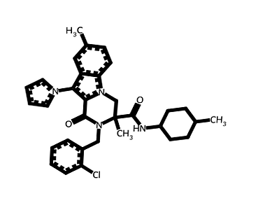 Cc1ccc2c(c1)c(-n1cccc1)c1n2CC(C)(C(=O)NC2CCC(C)CC2)N(Cc2ccccc2Cl)C1=O